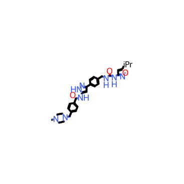 CC(C)c1cc(NC(=O)NCc2ccc(-c3cc(NC(=O)c4ccc(CN5CCN(C)CC5)cc4)[nH]n3)cc2)no1